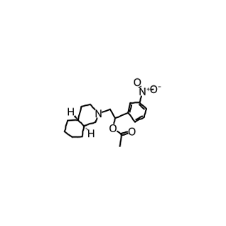 CC(=O)OC(CN1CC[C@H]2CCCC[C@@H]2C1)c1cccc([N+](=O)[O-])c1